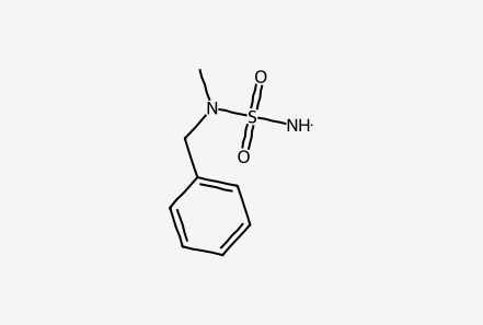 CN(Cc1ccccc1)S([NH])(=O)=O